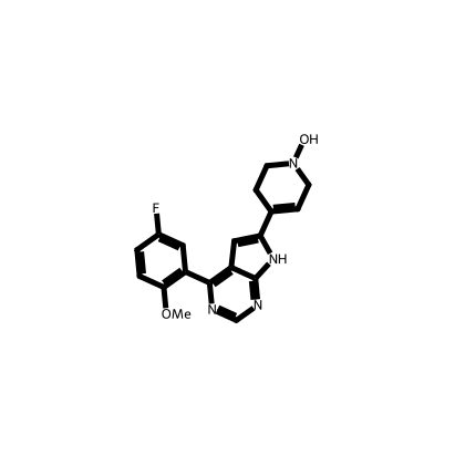 COc1ccc(F)cc1-c1ncnc2[nH]c(C3=CCN(O)CC3)cc12